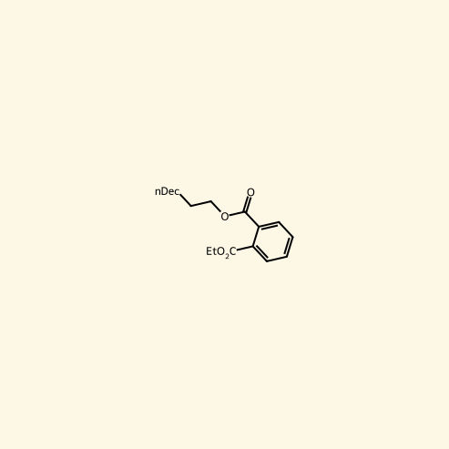 CCCCCCCCCCCCOC(=O)c1ccccc1C(=O)OCC